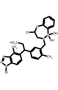 CCC1CN(Cc2cc(C(CC(=O)O)c3ccc4c(nnn4CC)c3C)ccc2C)S(O)(O)c2ccccc2O1